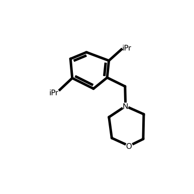 CC(C)c1ccc(C(C)C)c(CN2CCOCC2)c1